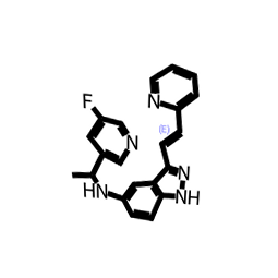 CC(Nc1ccc2[nH]nc(/C=C/c3ccccn3)c2c1)c1cncc(F)c1